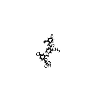 C[C@H]1CN(Cc2cc(Cl)ccc2OCC(=O)O)CCN1C(=O)Cc1ccc(F)cc1F